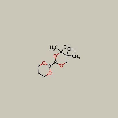 CC1(C)COB(B2OCCCO2)OC1(C)C